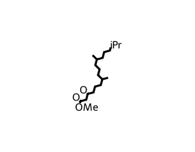 COC(=O)CC(=O)CCCC(C)CCCC(C)CCCC(C)C